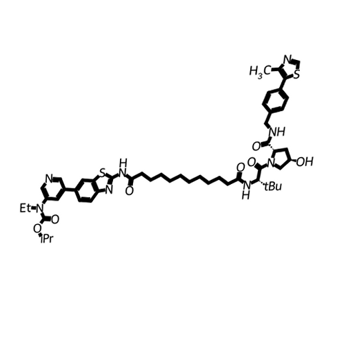 CCN(C(=O)OC(C)C)c1cncc(-c2ccc3nc(NC(=O)CCCCCCCCCCC(=O)N[C@H](C(=O)N4C[C@H](O)C[C@H]4C(=O)NCc4ccc(-c5scnc5C)cc4)C(C)(C)C)sc3c2)c1